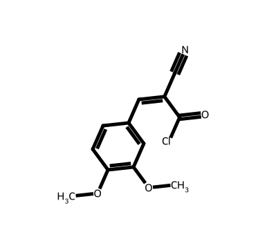 COc1ccc(C=C(C#N)C(=O)Cl)cc1OC